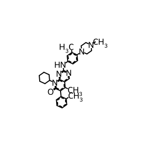 Cc1ccccc1-c1c(C)c2cnc(Nc3ccc(N4CCN(C)CC4)c(C)c3)nc2n(C2CCCCC2)c1=O